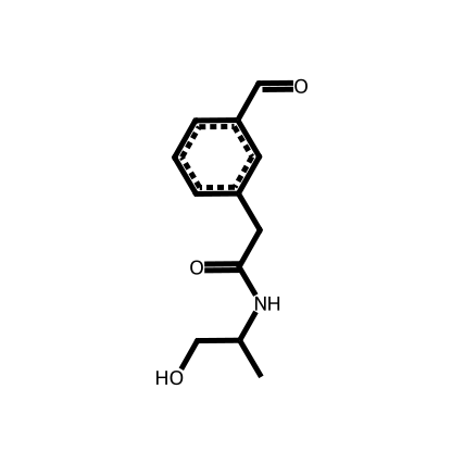 CC(CO)NC(=O)Cc1cccc(C=O)c1